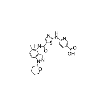 Cc1ccc2c(cnn2C2CCCCO2)c1NC(=O)c1cnc(Nc2ccc(C(=O)O)cn2)s1